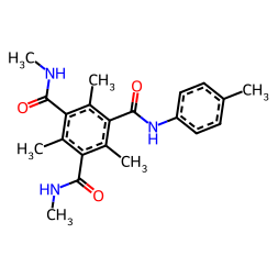 CNC(=O)c1c(C)c(C(=O)NC)c(C)c(C(=O)Nc2ccc(C)cc2)c1C